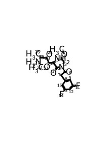 COCCN(C(=O)Cc1cc(F)cc(F)c1)C(=O)C(N)C(OC)C(=O)[C@@H](C)N